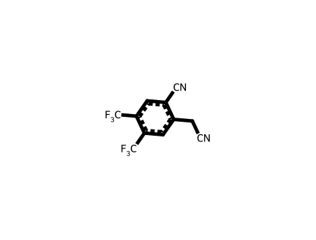 N#CCc1cc(C(F)(F)F)c(C(F)(F)F)cc1C#N